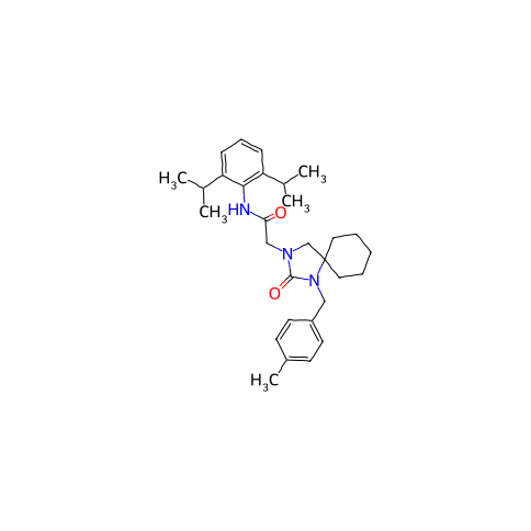 Cc1ccc(CN2C(=O)N(CC(=O)Nc3c(C(C)C)cccc3C(C)C)CC23CCCCC3)cc1